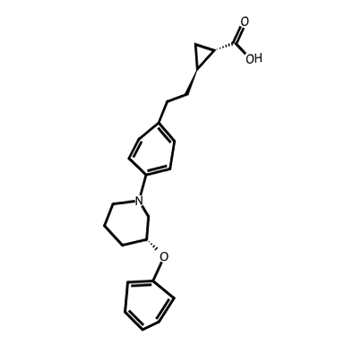 O=C(O)[C@H]1C[C@@H]1CCc1ccc(N2CCC[C@@H](Oc3ccccc3)C2)cc1